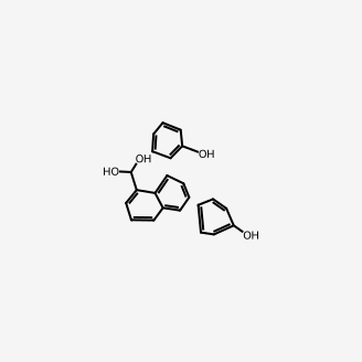 OC(O)c1cccc2ccccc12.Oc1ccccc1.Oc1ccccc1